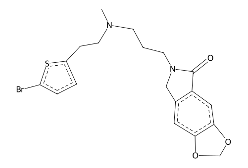 CN(CCCN1Cc2cc3c(cc2C1=O)OCO3)CCc1ccc(Br)s1